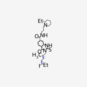 CC/C(I)=C\C=C(/C)Cn1c(=S)[nH]c2cc(C(=O)NCCCN3CCCCC3CC)ccc2c1=O